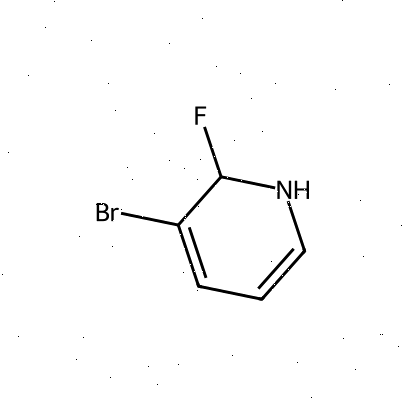 FC1NC=CC=C1Br